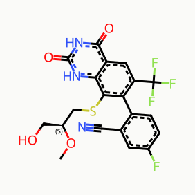 CO[C@@H](CO)CSc1c(-c2ccc(F)cc2C#N)c(C(F)(F)F)cc2c(=O)[nH]c(=O)[nH]c12